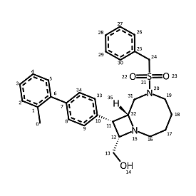 Cc1ccccc1-c1ccc([C@H]2[C@@H](CO)N3CCCCN(S(=O)(=O)Cc4ccccc4)C[C@@H]23)cc1